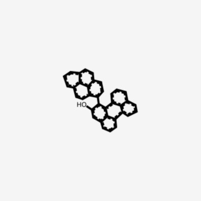 Oc1cc2cccc3c4cccc5cccc(c(c1-c1ccc6ccc7cccc8ccc1c6c78)c23)c54